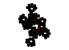 CCC(C(=O)OC1CC(C)(C)N(C)C(C)(C)C1)C(C(=O)OC1CC(C)(C)N(C)C(C)(C)C1)(C(=O)OC1CC(C)(C)N(C)C(C)(C)C1)C(=O)C(C)(C)CC1OCC2(COCOC2CC(C)(C)C(=O)C(C(=O)OC2CC(C)(C)N(C)C(C)(C)C2)(C(=O)OC2CC(C)(C)N(C)C(C)(C)C2)C(CC)C(=O)OC2CC(C)(C)N(C)C(C)(C)C2)CO1